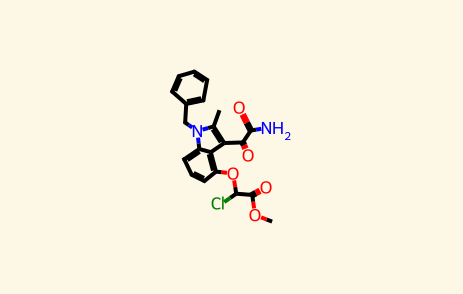 COC(=O)C(Cl)Oc1cccc2c1c(C(=O)C(N)=O)c(C)n2Cc1ccccc1